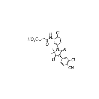 CC1(C)C(=O)N(c2ccc(C#N)c(Cl)c2)C(=S)N1c1ccc(Cl)c(NC(=O)CCC(=O)O)c1